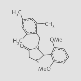 COc1cccc(OC)c1C1SCC(=O)N1Cc1c(C)cc(C)cc1C